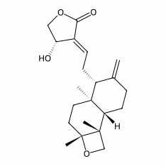 C=C1CC[C@H]2[C@@](C)(CC[C@@]3(C)OC[C@@]23C)[C@@H]1C/C=C1/C(=O)OC[C@H]1O